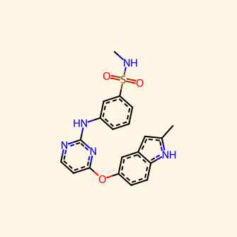 CNS(=O)(=O)c1cccc(Nc2nccc(Oc3ccc4[nH]c(C)cc4c3)n2)c1